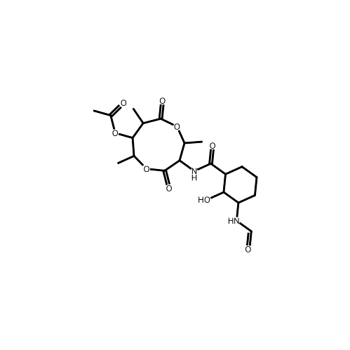 CC(=O)OC1C(C)OC(=O)C(NC(=O)C2CCCC(NC=O)C2O)C(C)OC(=O)C1C